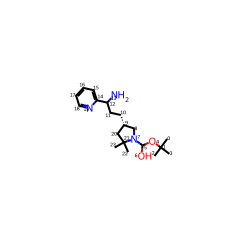 CC(C)(C)OC(O)N1C[C@@H](CCC(N)c2ccccn2)CC1(C)C